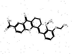 CCOc1cccc(/C=C2\CCCc3c2oc2ccc(C(=O)O)cc2c3=O)c1OC